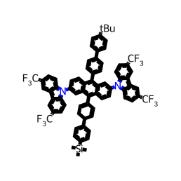 CC(C)(C)c1ccc(-c2ccc(-c3c4ccc(-n5c6ccc(C(F)(F)F)cc6c6cc(C(F)(F)F)ccc65)cc4c(C4=CCC(c5ccc([Si](C)(C)C)cc5)C=C4)c4ccc(-n5c6ccc(C(F)(F)F)cc6c6cc(C(F)(F)F)ccc65)cc34)cc2)cc1